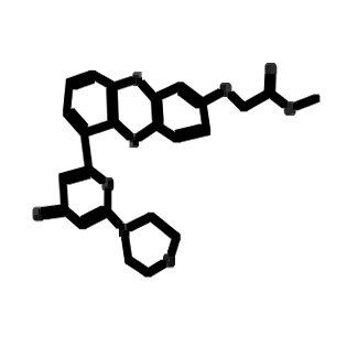 COC(=O)COc1ccc2c(c1)Sc1cccc(-c3cc(=O)cc(N4CCOCC4)o3)c1S2